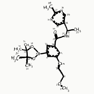 COCCOc1cc(B2OC(C)(C)C(C)(C)O2)cc(C(=O)NC(C)c2cnc(C)nc2)c1